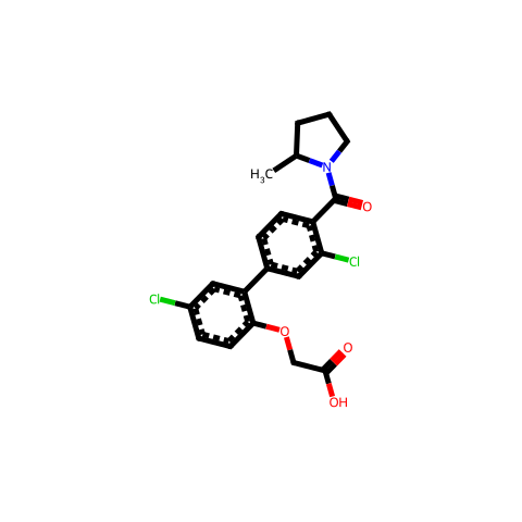 CC1CCCN1C(=O)c1ccc(-c2cc(Cl)ccc2OCC(=O)O)cc1Cl